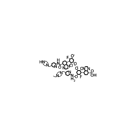 CCN1CCN(Cc2ccc(N)nc2)CC1.COc1cc(OC)c(Cl)c(-c2ccc(C(=O)Nc3ccc(CN4CCNCC4)cn3)c3nccnc23)c1F.COc1cc(OC)c(Cl)c(-c2ccc(C(=O)O)c3nccnc23)c1F